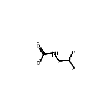 CC(C)CNC(=O)Cl